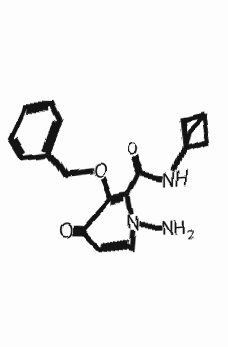 Nn1ccc(=O)c(OCc2ccccc2)c1C(=O)NC12CC(C1)C2